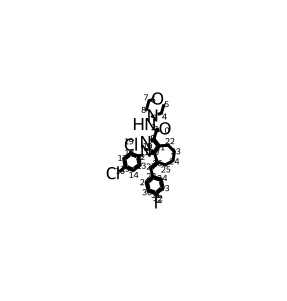 O=C(NN1CCOCC1)c1nn(-c2ccc(Cl)cc2Cl)c2c1CCCCC2=Cc1ccc(F)cc1